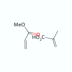 C=C(C)C(=O)O.C=CC(=O)OC